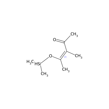 CC(=O)/C(C)=C(/C)O[SiH](C)C